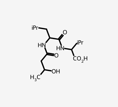 CC(C)CC(NC(=O)CC(C)O)C(=O)NC(C(=O)O)C(C)C